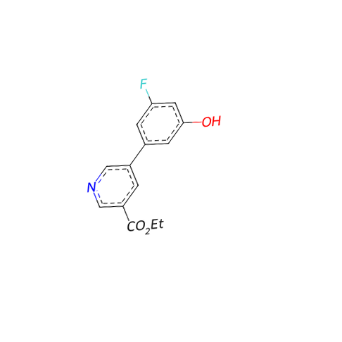 CCOC(=O)c1cncc(-c2cc(O)cc(F)c2)c1